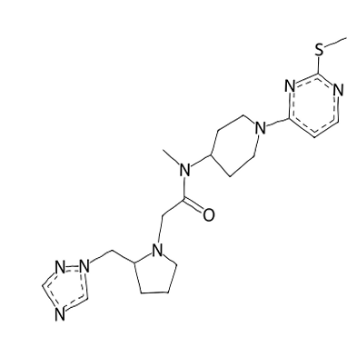 CSc1nccc(N2CCC(N(C)C(=O)CN3CCCC3Cn3cncn3)CC2)n1